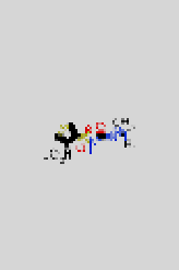 CN(C)NC(=O)NS(=O)(=O)c1cscc1C(=O)O